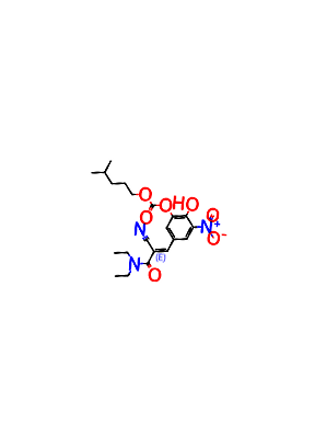 CCN(CC)C(=O)/C(C#N)=C/c1cc(OC(=O)OCCCC(C)C)c(O)c([N+](=O)[O-])c1